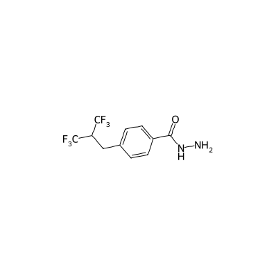 NNC(=O)c1ccc(CC(C(F)(F)F)C(F)(F)F)cc1